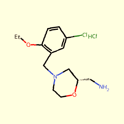 CCOc1ccc(Cl)cc1CN1CCO[C@@H](CN)C1.Cl